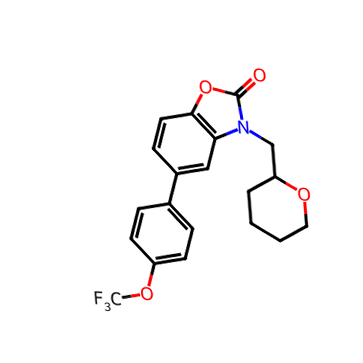 O=c1oc2ccc(-c3ccc(OC(F)(F)F)cc3)cc2n1CC1CCCCO1